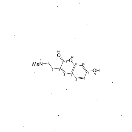 CNCCc1cc2ccc(O)cc2oc1=O